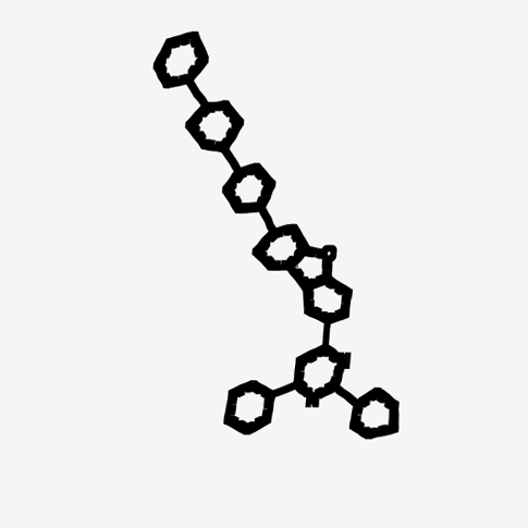 c1ccc(-c2ccc(-c3ccc(-c4ccc5c(c4)oc4ccc(-c6cc(-c7ccccc7)nc(-c7ccccc7)n6)cc45)cc3)cc2)cc1